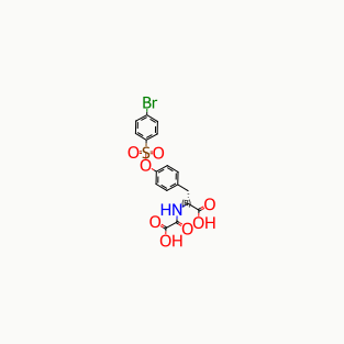 O=C(O)C(=O)N[C@H](Cc1ccc(OS(=O)(=O)c2ccc(Br)cc2)cc1)C(=O)O